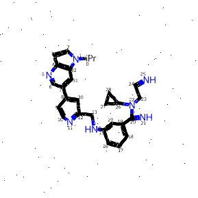 CC(C)n1ccc2ncc(-c3ccnc(CNc4cccc(C(=N)N(CC=N)C5CC5)c4)c3)cc21